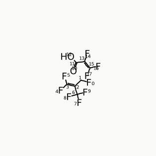 FCC(=C(F)F)C(F)(F)F.O=C(O)C(F)=C(F)F